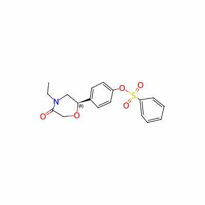 CCN1C[C@@H](c2ccc(OS(=O)(=O)c3ccccc3)cc2)OCC1=O